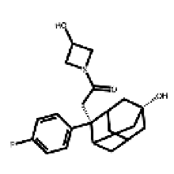 O=C(C[C@]1(c2ccc(F)cc2)C2CC3CC1C[C@](O)(C3)C2)N1CC(O)C1